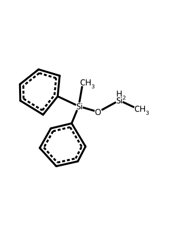 C[SiH2]O[Si](C)(c1ccccc1)c1ccccc1